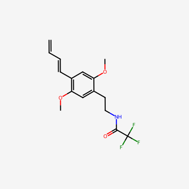 C=CC=Cc1cc(OC)c(CCNC(=O)C(F)(F)F)cc1OC